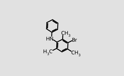 Cc1cc(C)c(Nc2ccccc2)c(C)c1Br